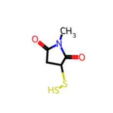 CN1C(=O)CC(SS)C1=O